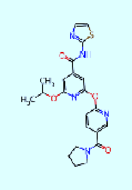 CC(C)Oc1cc(C(=O)Nc2nccs2)cc(Oc2ccc(C(=O)N3CCCC3)cn2)n1